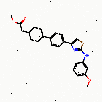 COC(=O)CC1CCC(c2ccc(-c3csc(Nc4cccc(OC)c4)n3)cc2)CC1